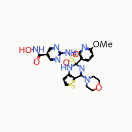 COc1ccc(C2(S(=O)(=O)Nc3ncc(C(=O)NO)cn3)N=C(N3CCOCC3)c3sccc3N2)cn1